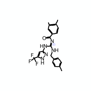 Cc1ccc(CN/C(=N/C(=O)c2ccc(C)c(C)c2)Nc2cc(C(F)(F)F)[nH]n2)cc1